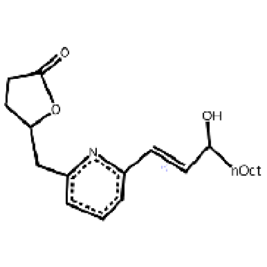 CCCCCCCCC(O)/C=C/c1cccc(CC2CCC(=O)O2)n1